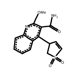 COc1nc2ccccc2c(C2C=CS(=O)(=O)C2)c1C(N)=O